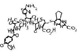 CC(C)(ON=C(C(=O)N[C@@H]1C(=O)N2C(C(=O)O)=C(CSc3nc4nc(C(=O)O)nn4c4c3CCC4)CS[C@H]12)c1csc(N)n1)C(=O)NNC(=O)c1ccc(O)c(O)c1